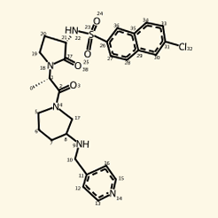 C[C@@H](C(=O)N1CCCC(NCc2ccncc2)C1)N1CC[C@H](NS(=O)(=O)c2ccc3cc(Cl)ccc3c2)C1=O